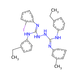 CCc1cccc(NC(=Nc2cccc(C)c2)NNC(=Nc2ccccc2I)Nc2cccc(CC)c2)c1